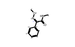 CNC(=O)/C(=N\OC)c1ccccc1